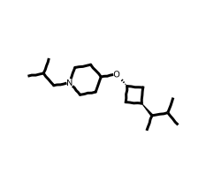 CC(C)CN1CCC(O[C@H]2C[C@H](C(C)C(C)C)C2)CC1